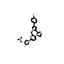 C[C@H]1CN(c2ccc3c(n2)Cn2cc(-c4ccc(F)cc4)cc2-c2nccn2-3)C[C@H]1CN(C)C